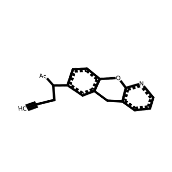 C#CCC(C(C)=O)c1ccc2c(c1)Cc1cccnc1O2